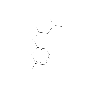 CN(C)CC(Oc1cccc(C#N)n1)C(F)(F)F